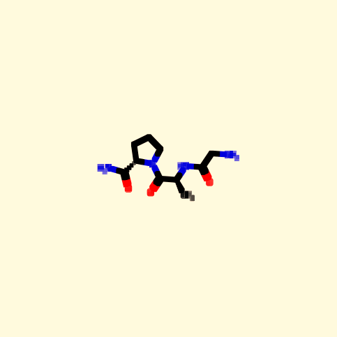 C[C@H](NC(=O)CN)C(=O)N1CCC[C@H]1C(N)=O